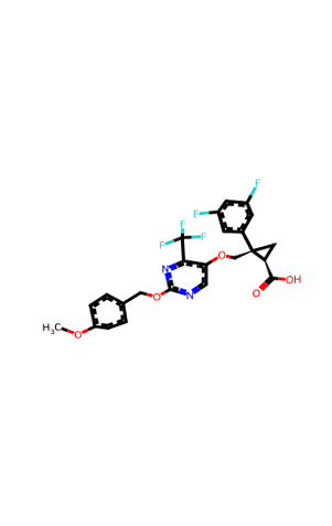 COc1ccc(COc2ncc(OC[C@@]3(c4cc(F)cc(F)c4)C[C@H]3C(=O)O)c(C(F)(F)F)n2)cc1